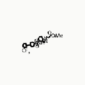 COC(=O)CCn1ncc2c1CCC[C@H]2NS(=O)(=O)c1ccc(-c2cccc(C(F)(F)F)c2)cc1